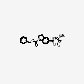 CC(N[S@+]([O-])C(C)(C)C)c1ccc2c(c1)CCN2C(=O)OCc1ccccc1